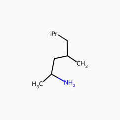 CC(C)CC(C)CC(C)N